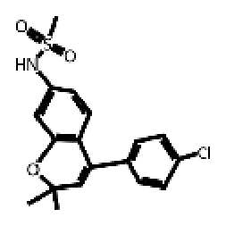 CC1(C)C=C(c2ccc(Cl)cc2)c2ccc(NS(C)(=O)=O)cc2O1